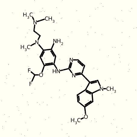 COc1ccc2c(-c3ccnc(Nc4cc(N)c(N(C)CCN(C)C)cc4OC(F)F)n3)cn(C)c2c1